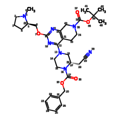 CN1CCC[C@@H]1COc1nc2c(c(N3CCN(C(=O)OCc4ccccc4)[C@@H](CC#N)C3)n1)CCN(C(=O)OC(C)(C)C)C2